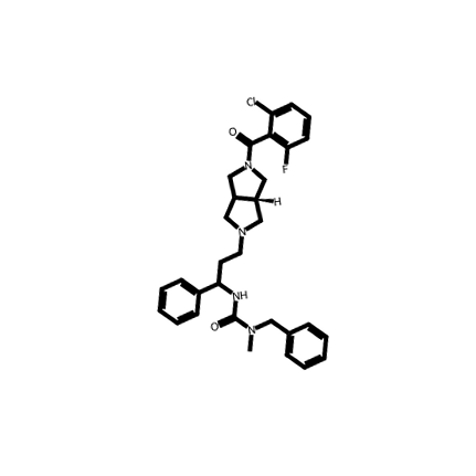 CN(Cc1ccccc1)C(=O)NC(CCN1CC2CN(C(=O)c3c(F)cccc3Cl)C[C@@H]2C1)c1ccccc1